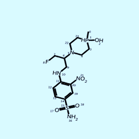 C[PH]1(O)CCN(C(CF)CNc2ccc(S(N)(=O)=O)cc2[N+](=O)[O-])CC1